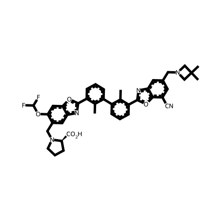 Cc1c(-c2nc3cc(CN4CCC[C@@H]4C(=O)O)c(OC(F)F)cc3o2)cccc1-c1cccc(-c2nc3cc(CN4CC(C)(C)C4)cc(C#N)c3o2)c1C